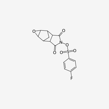 O=C1C2C3CC(C4OC34)C2C(=O)N1OS(=O)(=O)c1ccc(F)cc1